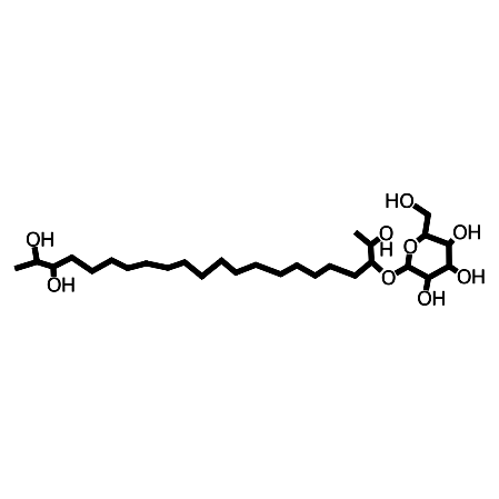 CC(O)C(O)CCCCCCCCCCCCCCCCC(OC1OC(CO)C(O)C(O)C1O)C(C)O